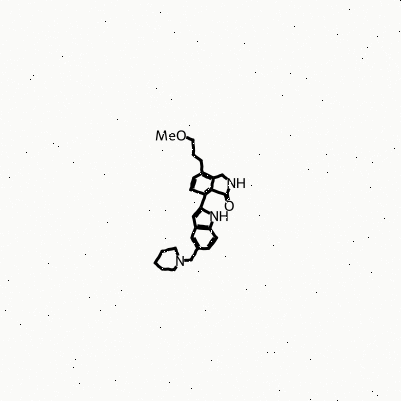 COCCCc1ccc(-c2cc3cc(CN4CCCCC4)ccc3[nH]2)c2c1CNC2=O